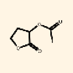 O=C(I)OC1CCOC1=O